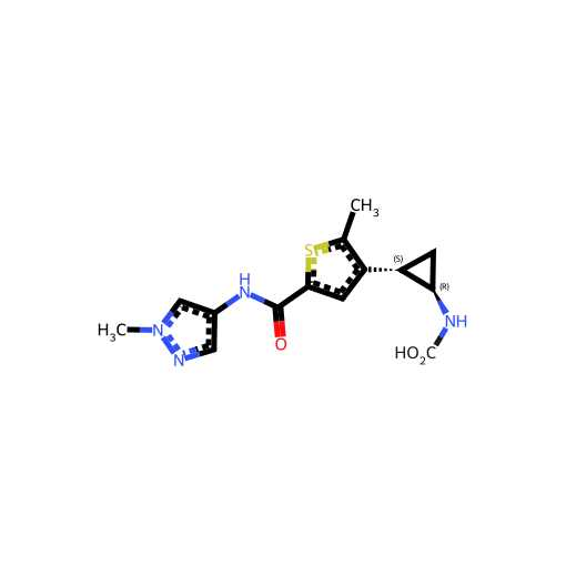 Cc1sc(C(=O)Nc2cnn(C)c2)cc1[C@@H]1C[C@H]1NC(=O)O